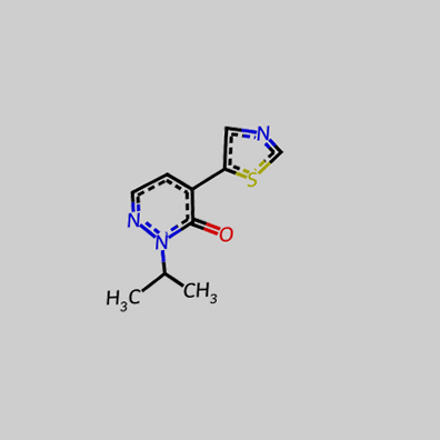 CC(C)n1nccc(-c2cncs2)c1=O